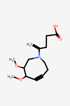 C=C(CCC(=O)O)N1CCC#CC(OC)C(OC)C1